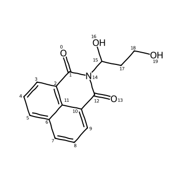 O=C1c2cccc3cccc(c23)C(=O)N1C(O)CCO